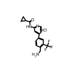 Cl.NCc1ccc(-c2ccnc(NC(=O)C3CC3)c2)cc1C(F)(F)F